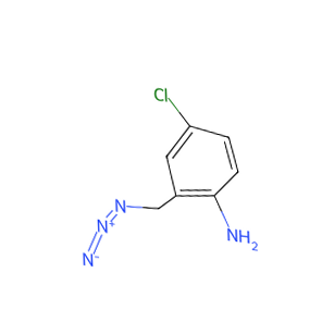 [N-]=[N+]=NCc1cc(Cl)ccc1N